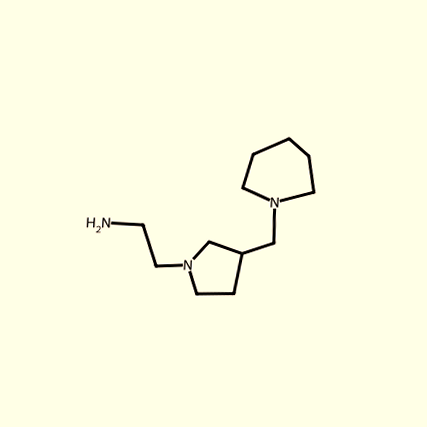 NCCN1CCC(CN2CCCCC2)C1